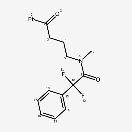 CCC(=O)CCCN(C)C(=O)C(F)(F)c1ccccc1